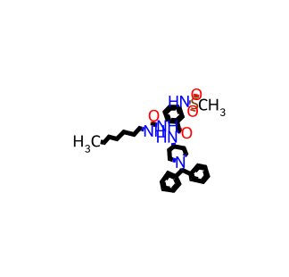 CCCCCCCNC(=O)Nc1ccc(NS(C)(=O)=O)cc1C(=O)NC1CCN(C(c2ccccc2)c2ccccc2)CC1